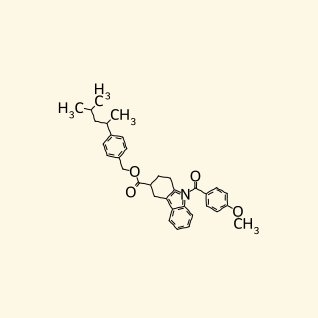 COc1ccc(C(=O)n2c3c(c4ccccc42)CC(C(=O)OCc2ccc(C(C)CC(C)C)cc2)CC3)cc1